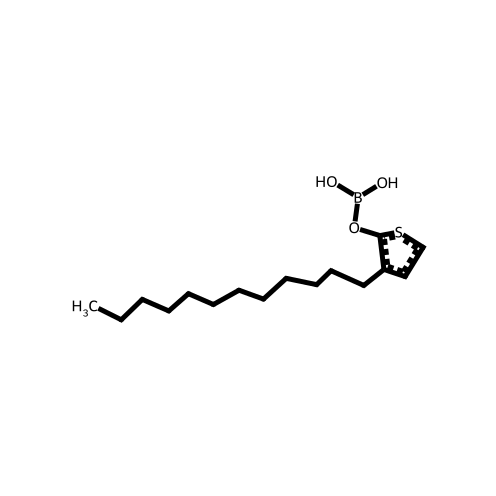 CCCCCCCCCCCCc1ccsc1OB(O)O